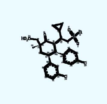 CCS(=O)(=O)C[C@H](C1CC1)N1C(=O)[C@](C)(CC(=O)O)C[C@H](c2cccc(Cl)c2)[C@H]1c1ccc(Cl)cc1